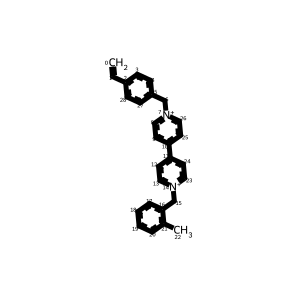 C=Cc1ccc(C[n+]2ccc(-c3cc[n+](Cc4ccccc4C)cc3)cc2)cc1